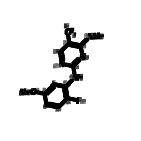 CNc1nc(Nc2cc(OC)[c]cc2F)ncc1C(F)(F)F